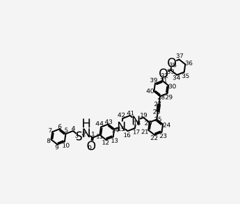 O=C(NSCc1ccccc1)c1ccc(N2CCN(Cc3ccccc3C#Cc3ccc(OC4CCCCO4)cc3)CC2)cc1